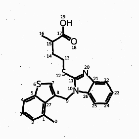 Cc1cccc2scc(Cn3c(SCCC(C)C(=O)O)nc4ccccc43)c12